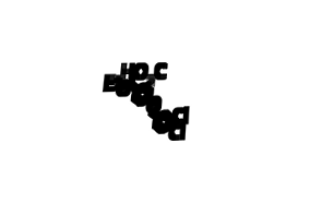 CCO[C@@H](CC(=O)O)c1ccc(OCc2ccc(Cl)c(Cl)c2)cc1